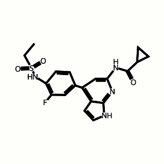 CCS(=O)(=O)Nc1ccc(-c2cc(NC(=O)C3CC3)nc3[nH]ccc23)cc1F